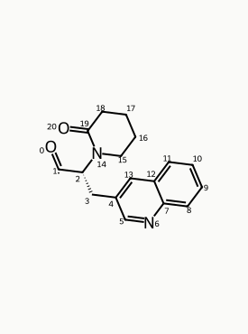 O=[C][C@@H](Cc1cnc2ccccc2c1)N1CCCCC1=O